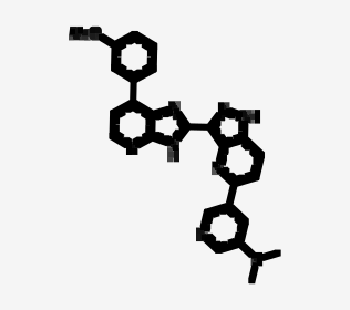 COc1cccc(-c2ccnc3[nH]c(-c4n[nH]c5ccc(-c6cncc(N(C)C)c6)nc45)nc23)c1